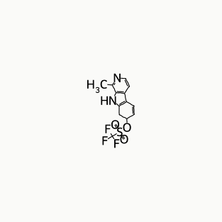 Cc1nccc2c3c([nH]c12)CC(OS(=O)(=O)C(F)(F)F)C=C3